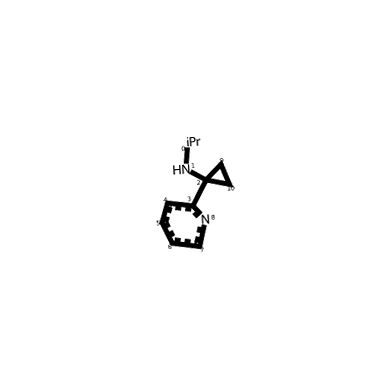 CC(C)NC1(c2ccccn2)CC1